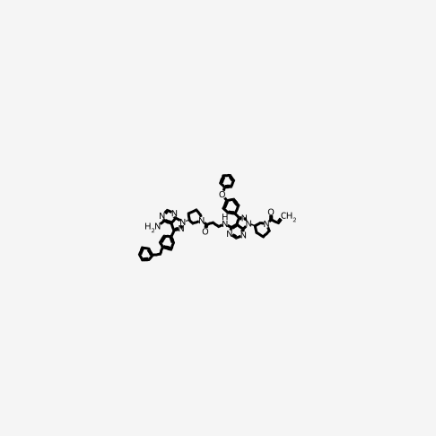 C=CC(=O)N1CCC[C@@H](n2nc(-c3ccc(Oc4ccccc4)cc3)c3c(NCCC(=O)N4CCC[C@@H](n5nc(-c6ccc(Cc7ccccc7)cc6)c6c(N)ncnc65)C4)ncnc32)C1